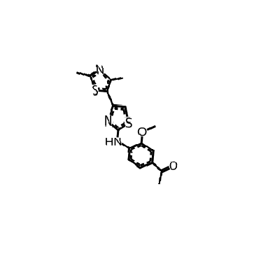 COc1cc(C(C)=O)ccc1Nc1nc(-c2sc(C)nc2C)cs1